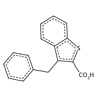 O=C(O)c1sc2ccccc2c1Cc1ccccc1